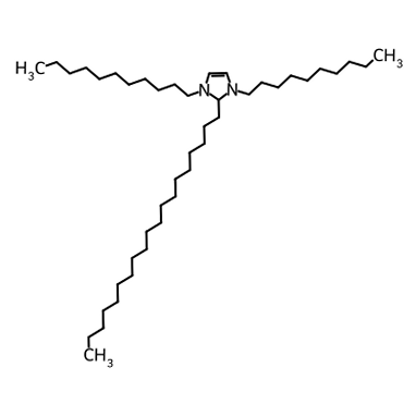 CCCCCCCCCCCCCCCCCCCC1N(CCCCCCCCCC)C=CN1CCCCCCCCCCC